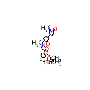 C[C@@H](c1ccc(-c2ccc(=O)n(C)c2)cc1)N1CCC(CCCO[Si](C)(C)C(C)(C)C)(c2ccc(F)cc2)OC1=O